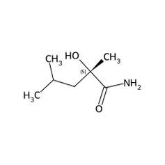 CC(C)C[C@](C)(O)C(N)=O